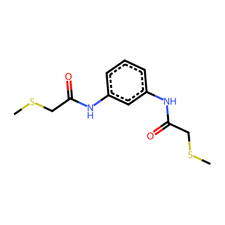 CSCC(=O)Nc1cccc(NC(=O)CSC)c1